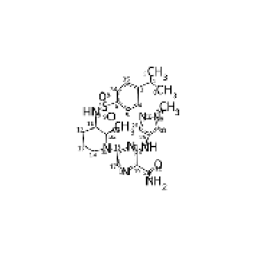 CC(C)c1ccc(S(=O)(=O)N[C@@H]2CCCN(c3cnc(C(N)=O)c(Nc4cnn(C)c4)n3)[C@@H]2C)cc1